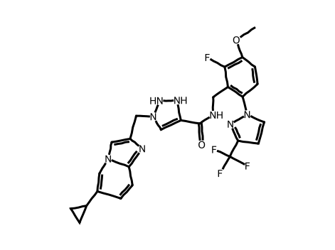 COc1ccc(-n2ccc(C(F)(F)F)n2)c(CNC(=O)C2=CN(Cc3cn4cc(C5CC5)ccc4n3)NN2)c1F